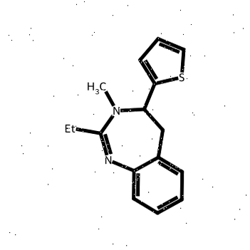 CCC1=Nc2ccccc2CC(c2cccs2)N1C